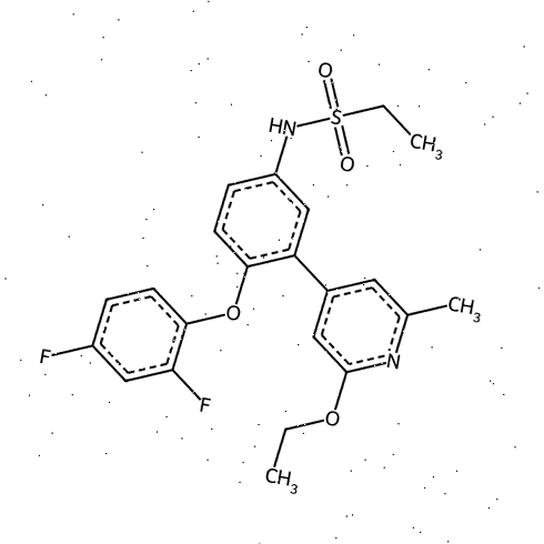 CCOc1cc(-c2cc(NS(=O)(=O)CC)ccc2Oc2ccc(F)cc2F)cc(C)n1